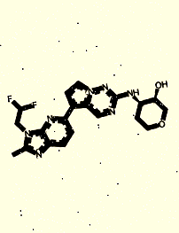 Cc1nc2ccc(-c3ccn4nc(N[C@@H]5CCOC[C@@H]5O)ncc34)nc2n1CC(F)F